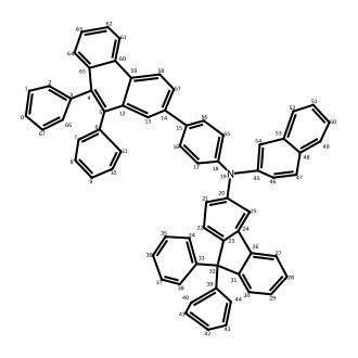 c1ccc(-c2c(-c3ccccc3)c3cc(-c4ccc(N(c5ccc6c(c5)-c5ccccc5C6(c5ccccc5)c5ccccc5)c5ccc6ccccc6c5)cc4)ccc3c3ccccc23)cc1